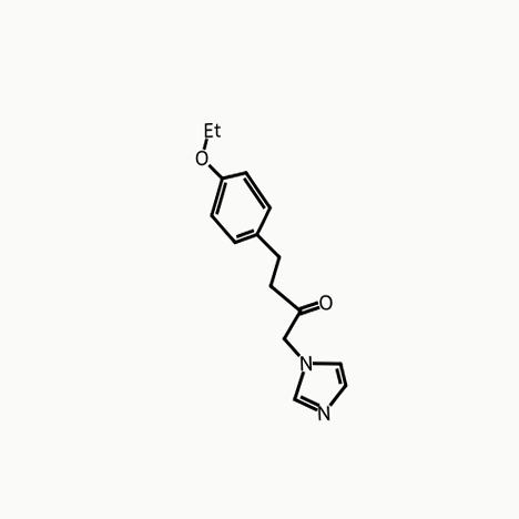 CCOc1ccc(CCC(=O)Cn2ccnc2)cc1